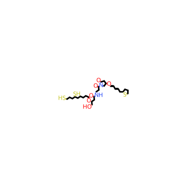 O=C(CCCCC(S)CCCS)OC(CCCO)NCCC(=O)N1CC(O/C=C/C=C/CC2CCCS2)CC1=O